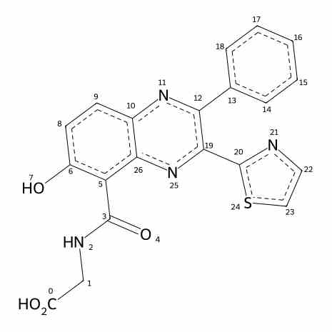 O=C(O)CNC(=O)c1c(O)ccc2nc(-c3ccccc3)c(-c3nccs3)nc12